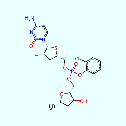 B[C@H]1C[C@H](O)[C@@H](COP(=O)(OC[C@@H]2C[C@H](F)[C@H](n3ccc(N)nc3=O)S2)Oc2ccccc2Cl)O1